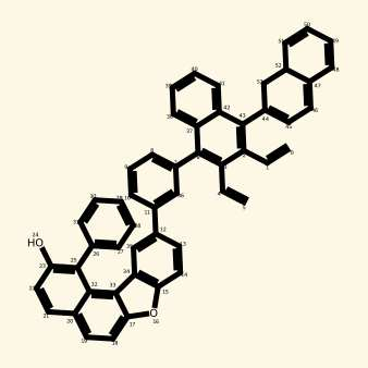 C=Cc1c(C=C)c(-c2cccc(-c3ccc4oc5ccc6ccc(O)c(-c7ccccc7)c6c5c4c3)c2)c2ccccc2c1C1=CC=C2C=CC=CC2C1